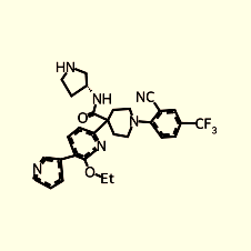 CCOc1nc(C2(C(=O)N[C@@H]3CCNC3)CCN(c3ccc(C(F)(F)F)cc3C#N)CC2)ccc1-c1cccnc1